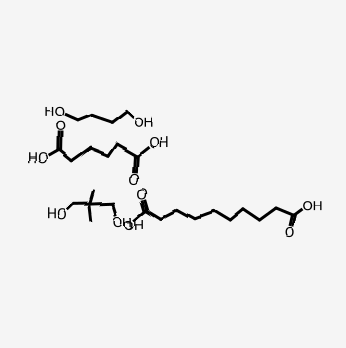 CC(C)(CO)CO.O=C(O)CCCCC(=O)O.O=C(O)CCCCCCCCC(=O)O.OCCCCO